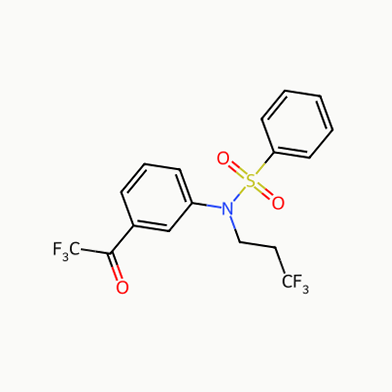 O=C(c1cccc(N(CCC(F)(F)F)S(=O)(=O)c2ccccc2)c1)C(F)(F)F